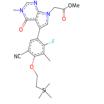 COC(=O)Cn1cc(-c2cc(C#N)c(OCC[Si](C)(C)C)c(C)c2F)c2c(=O)n(C)cnc21